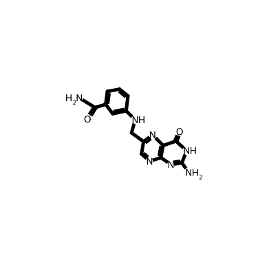 NC(=O)c1cccc(NCc2cnc3nc(N)[nH]c(=O)c3n2)c1